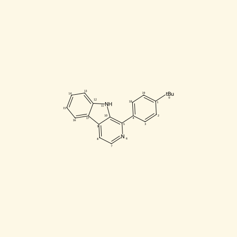 CC(C)(C)c1ccc(-c2nccc3c2[nH]c2ccccc23)cc1